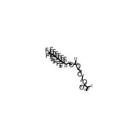 C=C(C)C(=O)OCCOCCOC(C)OCCC(F)(F)C(F)(F)C(F)(F)C(F)(F)C(F)(F)C(F)(F)F